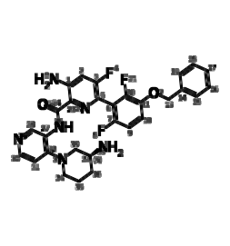 Nc1cc(F)c(-c2c(F)ccc(OCc3ccccc3)c2F)nc1C(=O)Nc1cnccc1N1CCC[C@H](N)C1